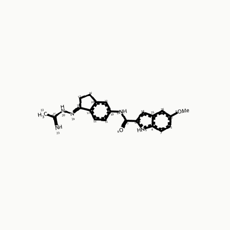 COc1ccc2[nH]c(C(=O)Nc3ccc4c(c3)CC/C4=N\NC(C)=N)cc2c1